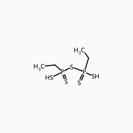 CCP(=S)(S)SP(=S)(S)CC